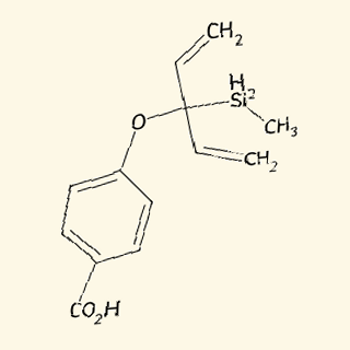 C=CC(C=C)(Oc1ccc(C(=O)O)cc1)[SiH2]C